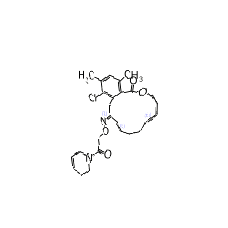 Cc1cc(C)c2c(c1Cl)CC(=N/OCC(=O)N1CC=CCC1)/C=C/CC/C=C/CCOC2=O